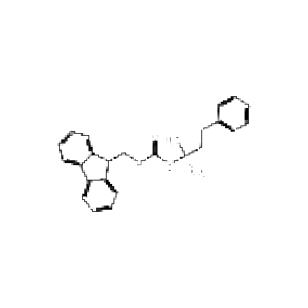 C[C@@](CCc1ccccc1)(NC(=O)OCC1c2ccccc2-c2ccccc21)C(=O)O